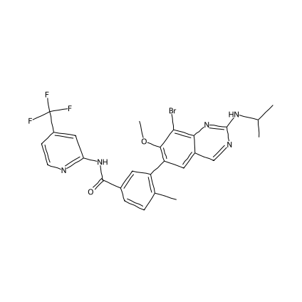 COc1c(-c2cc(C(=O)Nc3cc(C(F)(F)F)ccn3)ccc2C)cc2cnc(NC(C)C)nc2c1Br